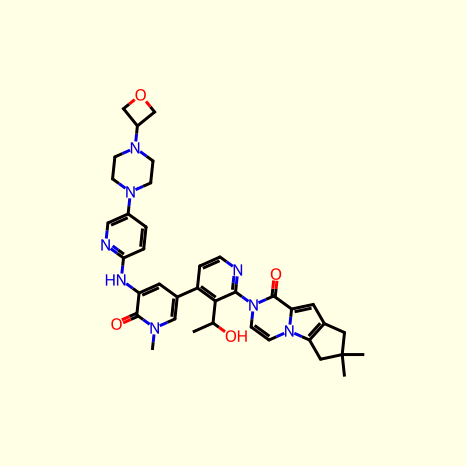 CC(O)c1c(-c2cc(Nc3ccc(N4CCN(C5COC5)CC4)cn3)c(=O)n(C)c2)ccnc1-n1ccn2c3c(cc2c1=O)CC(C)(C)C3